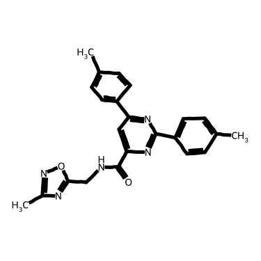 Cc1ccc(-c2cc(C(=O)NCc3nc(C)no3)nc(-c3ccc(C)cc3)n2)cc1